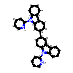 c1ccc(-n2c3ccccc3c3cc(-c4ccc5c6ccccc6n(-c6ccccn6)c5c4)ccc32)nc1